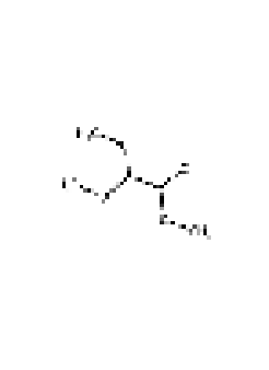 COC(Cl)C(OC)OC